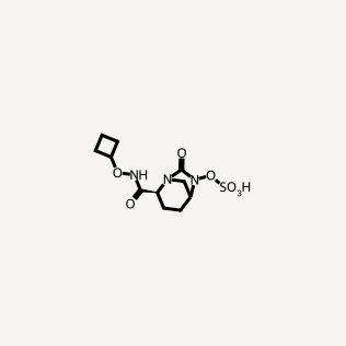 O=C(NOC1CCC1)[C@@H]1CCC2CN1C(=O)N2OS(=O)(=O)O